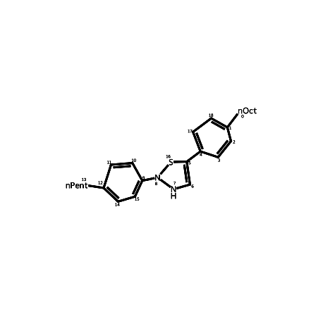 CCCCCCCCc1ccc(C2=CNN(c3ccc(CCCCC)cc3)S2)cc1